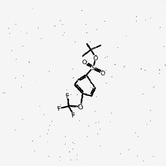 CC(C)(C)OS(=O)(=O)c1ccc(OC(F)(F)F)cc1